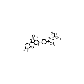 CN(C(=O)OC(C)(C)C)C1CCN(c2cc3c(cn2)c(C2CCC(=O)NC2=O)nn3C)CC1